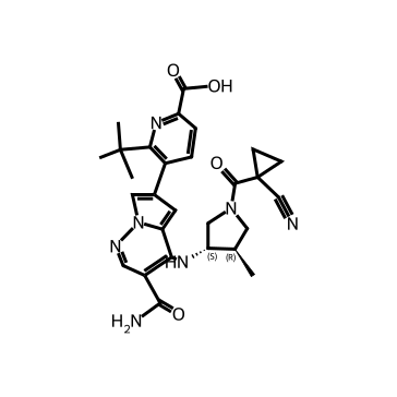 C[C@@H]1CN(C(=O)C2(C#N)CC2)C[C@H]1Nc1c(C(N)=O)cnn2cc(-c3ccc(C(=O)O)nc3C(C)(C)C)cc12